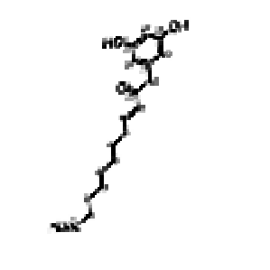 CCCCCCCCCCCCCCCCCC=CC(=O)Cc1cc(O)cc(O)c1